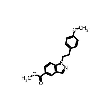 COC(=O)c1ccc2c(cnn2CCc2ccc(OC)cc2)c1